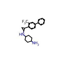 NC1CCC(NC2CC2c2ccc(-c3ccccc3)cc2C(F)(F)F)CC1